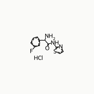 Cl.NC(C(=O)Nc1nccs1)c1cccc(F)c1